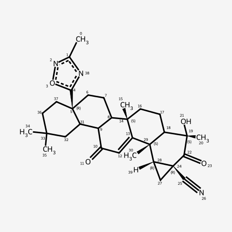 Cc1noc([C@@]23CCC4C(C(=O)C=C5[C@@]4(C)CCC4[C@](C)(O)C(=O)[C@]6(C#N)C[C@@H]6[C@]54C)C2CC(C)(C)CC3)n1